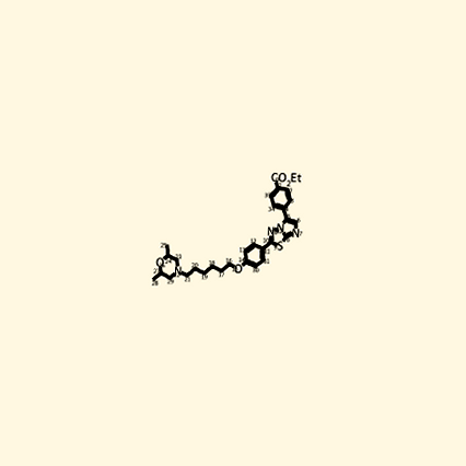 CCOC(=O)c1ccc(-c2cnc3sc(-c4ccc(OCCCCCCN5CC(C)OC(C)C5)cc4)nn23)cc1